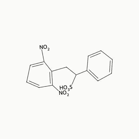 O=[N+]([O-])c1cccc([N+](=O)[O-])c1CC(c1ccccc1)S(=O)(=O)O